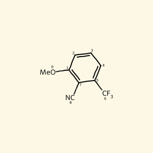 COc1cccc(C(F)(F)F)c1C#N